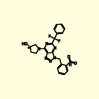 O=[SH](=O)c1ccccc1Cn1nnc2c(N3CC[C@H](O)C3)nc(C(F)(F)c3ccccc3)nc21